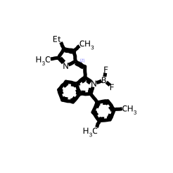 CCC1=C(C)/C(=C/c2c3ccccc3c(-c3cc(C)cc(C)c3)n2B(F)F)N=C1C